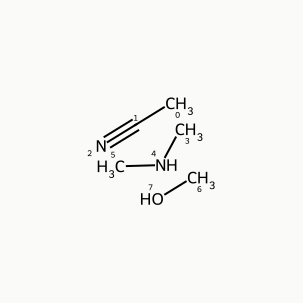 CC#N.CNC.CO